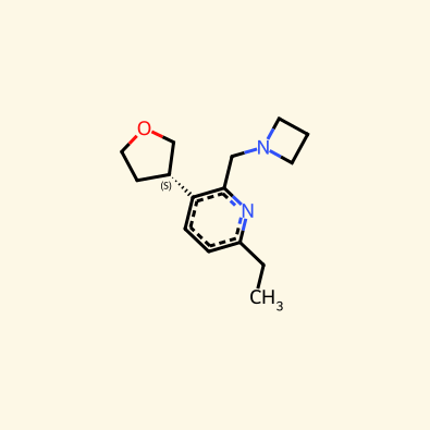 CCc1ccc([C@@H]2CCOC2)c(CN2CCC2)n1